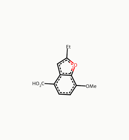 CCc1cc2c(C(=O)O)ccc(OC)c2o1